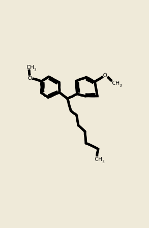 CCCCCCCC(c1ccc(OC)cc1)c1ccc(OC)cc1